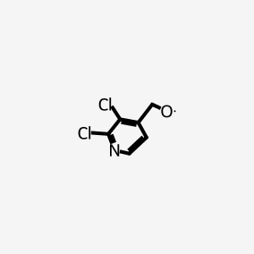 [O]Cc1ccnc(Cl)c1Cl